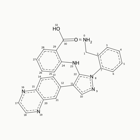 NCc1ccccc1-n1ncc(-c2ccc3nccnc3c2)c1Nc1ccccc1C(=O)O